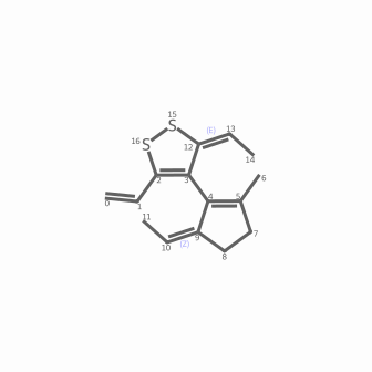 C=CC1=C(C2=C(C)CC/C2=C/C)/C(=C\C)SS1